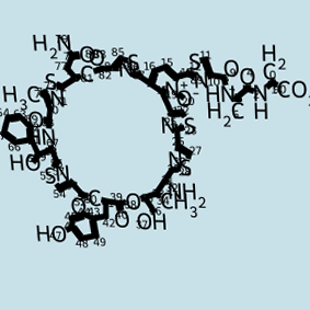 C=C(NC(=O)C(=C)NC(=O)c1csc(-c2ccc3c([n+]2[O-])-c2csc(n2)-c2csc(n2)C(N)C(C)C(CO)OC(=O)C(Cc2ccc(O)cc2)CC(=O)c2csc(n2)C(C(O)c2ccccc2)NC(=O)c2nc(sc2C)C(CC(N)=O)CC(=O)c2csc-3n2)n1)C(=O)O